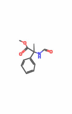 COC(=O)C(C)(NC=O)c1ccccc1